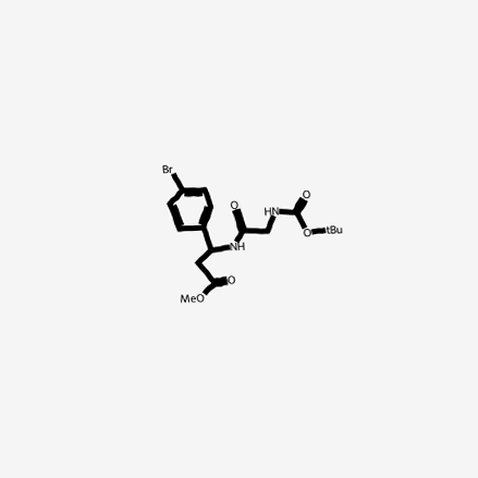 COC(=O)CC(NC(=O)CNC(=O)OC(C)(C)C)c1ccc(Br)cc1